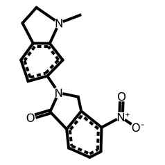 CN1CCc2ccc(N3Cc4c(cccc4[N+](=O)[O-])C3=O)cc21